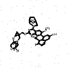 C#Cc1c(F)ccc2cc(O)cc(-c3c(OC)cc4c(N5CC6CCC(C5)N6)nc(OCC5(CN6C[C@H]7C[C@@H]6CO7)CC5)nc4c3F)c12